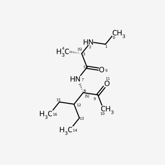 CCN[C@@H](C)C(=O)N[C@H](C(C)=O)C(CC)CC